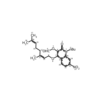 CCCCn1c(=O)c(OC=O)c(OCC=C(C)CCC=C(C)C)c2ccc([N+](=O)[O-])cc21